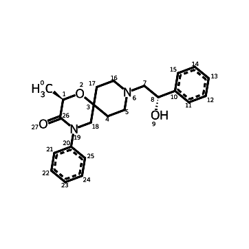 C[C@H]1OC2(CCN(C[C@@H](O)c3ccccc3)CC2)CN(c2ccccc2)C1=O